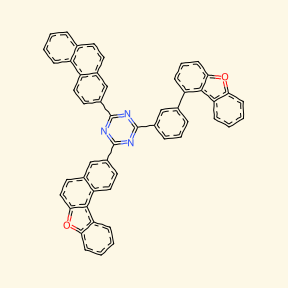 c1cc(-c2nc(-c3ccc4c(ccc5ccccc54)c3)nc(-c3ccc4c(ccc5oc6ccccc6c54)c3)n2)cc(-c2cccc3oc4ccccc4c23)c1